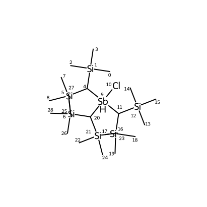 C[Si](C)(C)[CH]([Si](C)(C)C)[SbH]([Cl])([CH]([Si](C)(C)C)[Si](C)(C)C)[CH]([Si](C)(C)C)[Si](C)(C)C